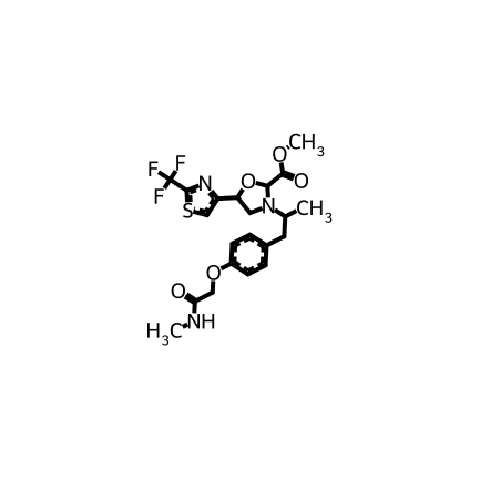 CNC(=O)COc1ccc(CC(C)N2CC(c3csc(C(F)(F)F)n3)OC2C(=O)OC)cc1